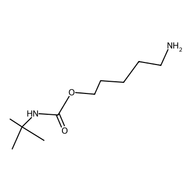 CC(C)(C)NC(=O)OCCCCCN